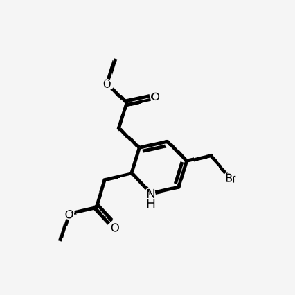 COC(=O)CC1=CC(CBr)=CNC1CC(=O)OC